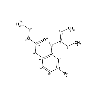 C/C=C(\CC)Oc1cc(Br)ccc1CC(=O)OCC